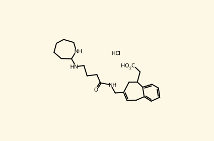 Cl.O=C(O)CC1CC(CNC(=O)CCCNC2CCCCCN2)=CCc2ccccc21